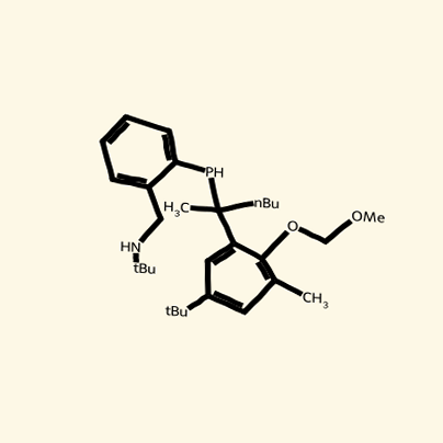 CCCCC(C)(Pc1ccccc1CNC(C)(C)C)c1cc(C(C)(C)C)cc(C)c1OCOC